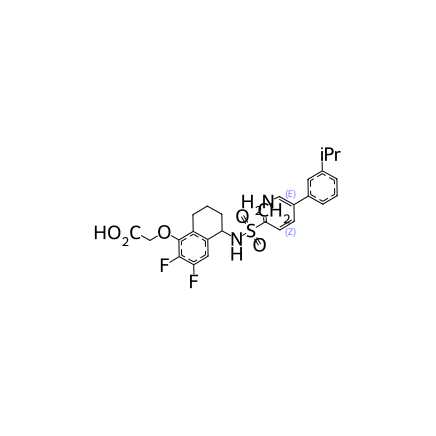 C=C(/C=C\C(=C/N)c1cccc(C(C)C)c1)S(=O)(=O)NC1CCCc2c1cc(F)c(F)c2OCC(=O)O